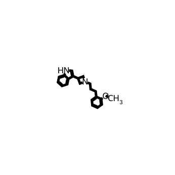 COc1ccccc1CCCN1CC(c2c[nH]c3ccccc23)C1